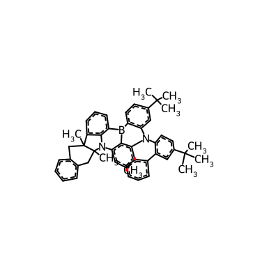 Cc1cc2c3c(c1)N1c4c(cccc4C4(C)Cc5ccccc5CC14C)B3c1ccc(C(C)(C)C)cc1N2c1ccc(C(C)(C)C)cc1-c1ccccc1